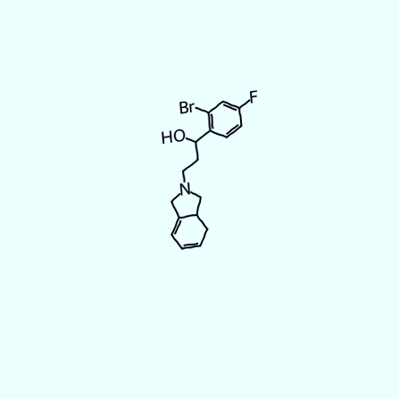 OC(CCN1CC2=CC=CCC2C1)c1ccc(F)cc1Br